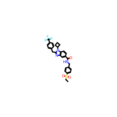 CCS(=O)(=O)c1ccc(CNC(=O)c2ccc3c(c2)nc(Cc2ccc(C(F)(F)F)cc2)n3C2CCC2)cc1